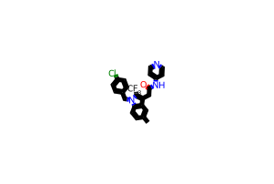 Cc1ccc2c(c1)c(CC(=O)Nc1ccncc1)c(C(F)(F)F)n2Cc1ccc(Cl)cc1